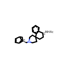 CC(=O)N[C@@H]1CCC2(CCN(C[C@@H]3CC4C=CC3C4)CC2)c2ccccc21